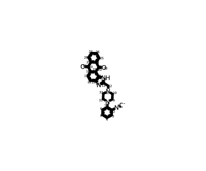 [C-]#[N+]c1ccccc1N1CCN(Cc2nc3ccc4c(c3[nH]2)C(=O)c2ccccc2C4=O)CC1